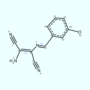 N#C/C(N)=C(C#N)\N=C\c1cccc(Cl)c1